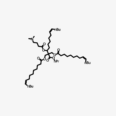 CCCC/C=C\CCCCCCCC(=O)OCC(COC(=O)CCCCCCC/C=C\CCCC)(C(=O)OCCC)C(CCCCC/C=C\CCCC)OC(=O)CCCN(C)C